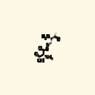 CC(=O)[C@@H](N)CSSC(=O)[C@H](N)C(=O)O